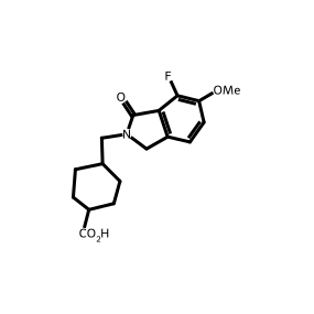 COc1ccc2c(c1F)C(=O)N(CC1CCC(C(=O)O)CC1)C2